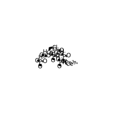 O=[PH]([O-])O[PH](=O)[O-].O=[PH]([O-])O[PH](=O)[O-].O=[PH]([O-])O[PH](=O)[O-].OCCl.[Ce+3].[Ce+3]